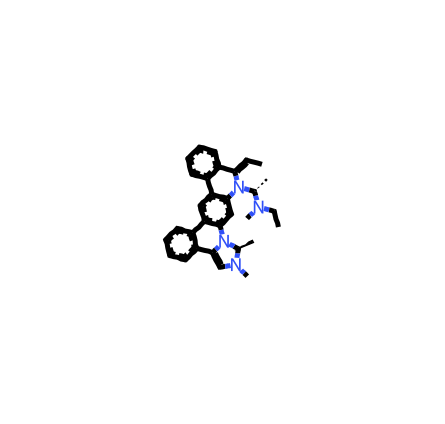 C/C=C1/c2ccccc2-c2cc3c(cc2N1[C@H](C)N(C)CC)N1C(=CN(C)[C@@H]1C)c1ccccc1-3